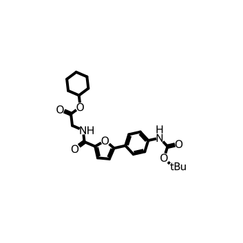 CC(C)(C)OC(=O)Nc1ccc(-c2ccc(C(=O)NCC(=O)OC3CCCCC3)o2)cc1